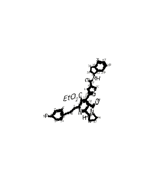 CCOC(=O)c1c(CCc2ccc(F)cc2)nc2c(c1-c1cc(C(=O)NC3CCc4ccccc43)cs1)C(=O)N1CCC[C@@H]21